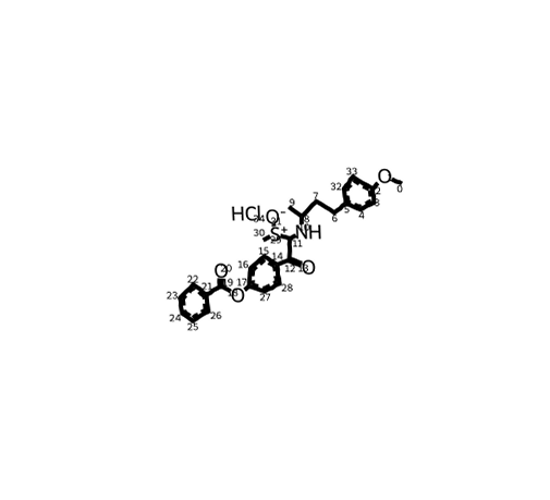 COc1ccc(CCC(C)NC(C(=O)c2ccc(OC(=O)c3ccccc3)cc2)[S+](C)[O-])cc1.Cl